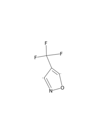 FC(F)(F)c1[c]no[c]1